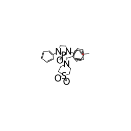 Cc1ccc(C(N2CCS(=O)(=O)CC2)P2(=O)N(c3ccccc3)CCN2c2ccccc2)cc1